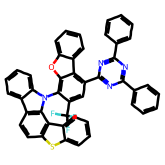 FC(F)(F)c1cc(-c2nc(-c3ccccc3)nc(-c3ccccc3)n2)c2c(oc3ccccc32)c1-n1c2ccccc2c2ccc3sc4ccccc4c3c21